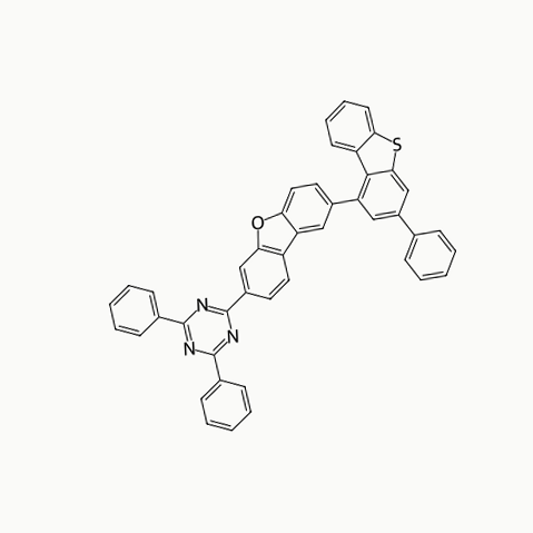 c1ccc(-c2cc(-c3ccc4oc5cc(-c6nc(-c7ccccc7)nc(-c7ccccc7)n6)ccc5c4c3)c3c(c2)sc2ccccc23)cc1